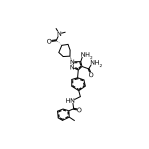 Cc1ccccc1C(=O)NCc1ccc(-c2nn([C@H]3CC[C@@H](C(=O)N(C)C)CC3)c(N)c2C(N)=O)cc1